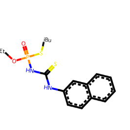 CCOP(=O)(NC(=S)Nc1ccc2ccccc2c1)SC(C)CC